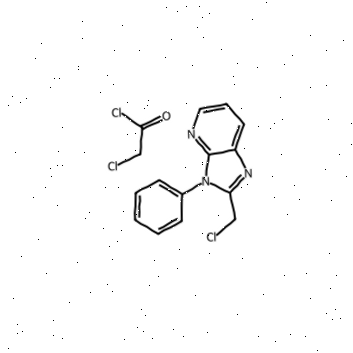 ClCc1nc2cccnc2n1-c1ccccc1.O=C(Cl)CCl